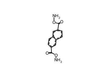 NOC(=O)c1ccc2cc(C(=O)ON)ccc2c1